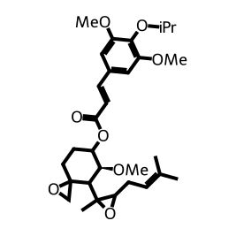 COc1cc(/C=C/C(=O)OC2CCC3(CO3)C(C3(C)OC3CC=C(C)C)[C@@H]2OC)cc(OC)c1OC(C)C